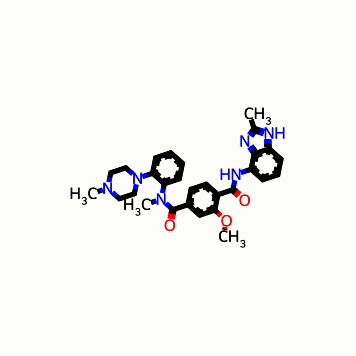 COc1cc(C(=O)N(C)c2ccccc2N2CCN(C)CC2)ccc1C(=O)Nc1cccc2[nH]c(C)nc12